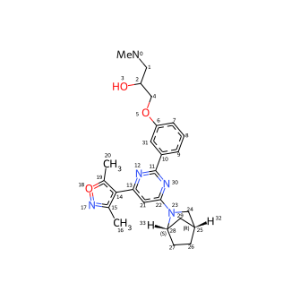 CNCC(O)COc1cccc(-c2nc(-c3c(C)noc3C)cc(N3C[C@@H]4CC[C@H]3C4)n2)c1